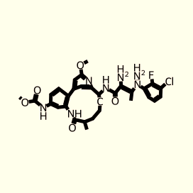 COC(=O)Nc1ccc2c(c1)NC(=O)C(C)CCCC(NC(=O)/C(N)=C(\C)N(N)c1cccc(Cl)c1F)c1cc-2cc(OC)n1